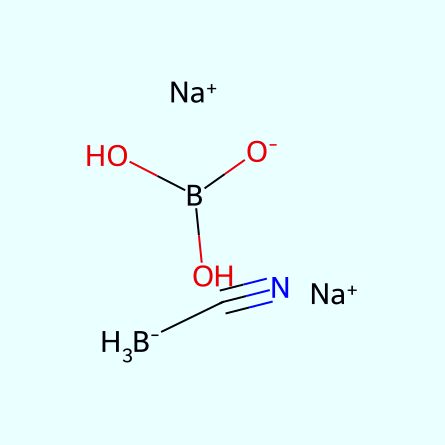 [BH3-]C#N.[Na+].[Na+].[O-]B(O)O